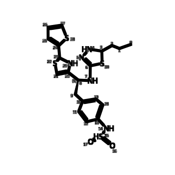 CCCC1NN=C(N[C@@H](Cc2ccc(N[SH](=O)=O)cc2)C2=CSC(c3cccs3)N2)S1